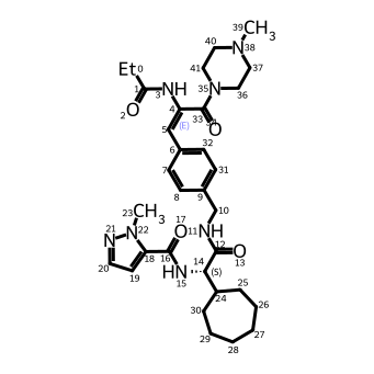 CCC(=O)N/C(=C/c1ccc(CNC(=O)[C@@H](NC(=O)c2ccnn2C)C2CCCCCC2)cc1)C(=O)N1CCN(C)CC1